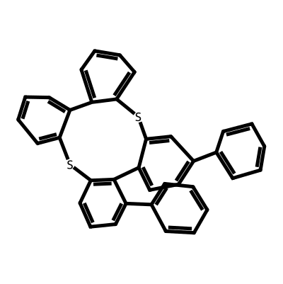 c1ccc(-c2ccc3c(c2)Sc2ccccc2-c2ccccc2Sc2cccc(-c4ccccc4)c2-3)cc1